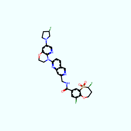 O=C(NCc1cc2nc(N3CCOc4cc(N5CC[C@@H](F)C5)cnc43)ccc2cn1)c1cc(F)c2c(c1)S(=O)(=O)[C@@H](F)CCO2